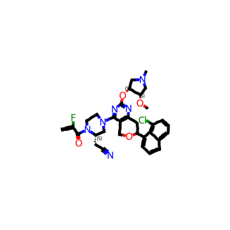 C=C(F)C(=O)N1CCN(c2nc(O[C@H]3CN(C)C[C@@H]3OC)nc3c2COC(c2cccc4cccc(Cl)c24)C3)C[C@@H]1CC#N